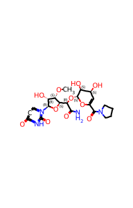 CO[C@H]1[C@@H](O)[C@H](n2ccc(=O)[nH]c2=O)O[C@@H]1[C@@H](O[C@H]1OC(C(=O)N2CCCC2)=C[C@H](O)[C@@H]1O)C(N)=O